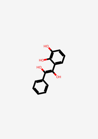 OC(=C(O)c1cccc(O)c1O)c1ccccc1